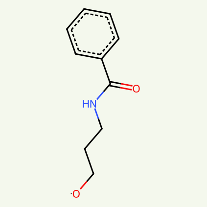 [O]CCCNC(=O)c1ccccc1